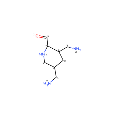 NCC1CNC(C=O)C(CN)C1